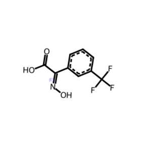 O=C(O)/C(=N/O)c1cccc(C(F)(F)F)c1